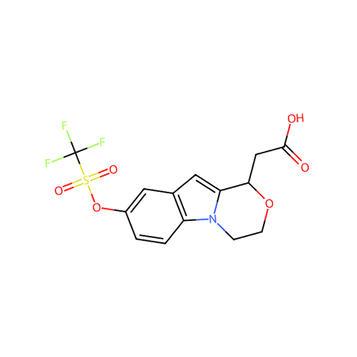 O=C(O)CC1OCCn2c1cc1cc(OS(=O)(=O)C(F)(F)F)ccc12